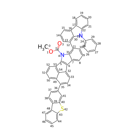 COC(=O)n1c2c(c3cccc(-c4cccc5c6ccccc6n(-c6ccccc6)c45)c31)-c1ccc(-c3ccc4c(c3)sc3ccccc34)c3cccc-2c13